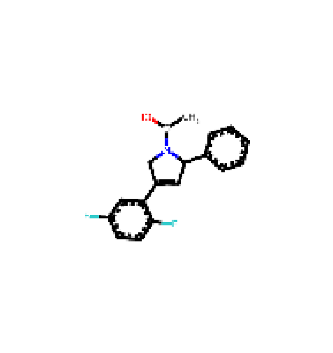 CB(O)N1CC(c2cc(F)ccc2F)=CC1c1ccccc1